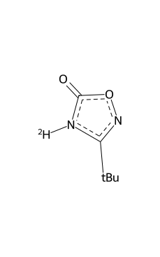 [2H]n1c(C(C)(C)C)noc1=O